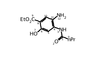 CCCC(=O)Nc1cc(O)c(C(=O)OCC)cc1N